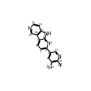 [2H]c1cc(-c2ccc3c(n2)[nH]c2ccncc23)cnc1F